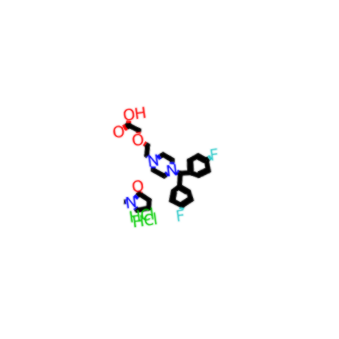 CN1CCCC1=O.Cl.Cl.O=C(O)COCCN1CCN(C(c2ccc(F)cc2)c2ccc(F)cc2)CC1